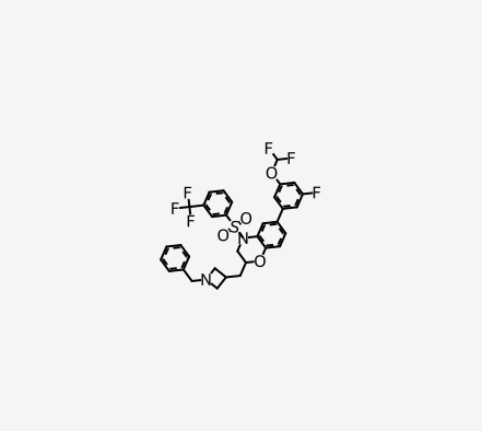 O=S(=O)(c1cccc(C(F)(F)F)c1)N1CC(CC2CN(Cc3ccccc3)C2)Oc2ccc(-c3cc(F)cc(OC(F)F)c3)cc21